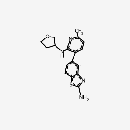 Nc1nc2[c]c(-c3ccc(C(F)(F)F)nc3NC3CCOC3)ccc2s1